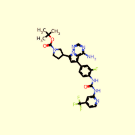 CC(C)(C)OC(=O)N1CCC(c2cc(-c3ccc(NC(=O)Nc4cc(C(F)(F)F)ccn4)c(F)c3)c3c(N)ncnn23)C1